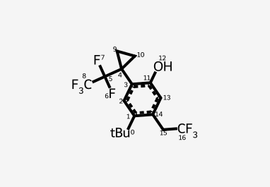 CC(C)(C)c1cc(C2(C(F)(F)C(F)(F)F)CC2)c(O)cc1CC(F)(F)F